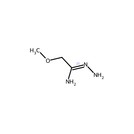 COC/C(N)=N/N